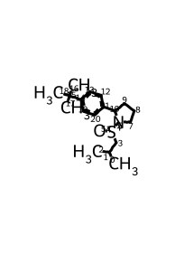 CC(C)C[S+]([O-])N1CCCC1c1ccc(C(C)(C)C)cc1